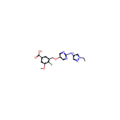 CCn1cc(Nc2ncc(OCc3cc(C(=O)O)cc(OC)c3F)cn2)cn1